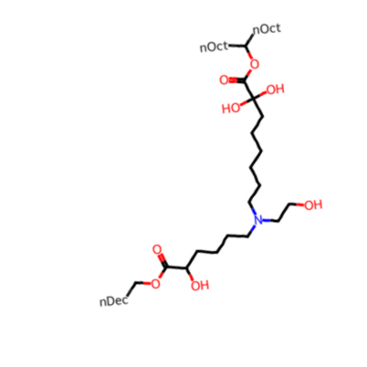 CCCCCCCCCCCOC(=O)C(O)CCCCN(CCO)CCCCCCC(O)(O)C(=O)OC(CCCCCCCC)CCCCCCCC